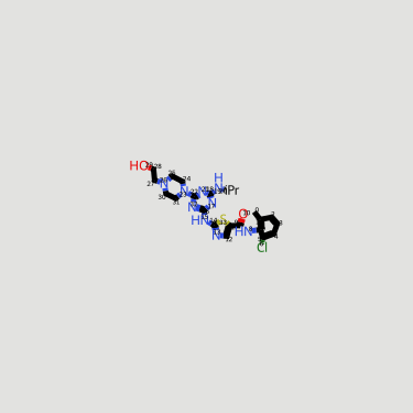 Cc1cccc(Cl)c1NC(=O)c1cnc(Nc2nc(NC(C)C)nc(N3CCN(CCO)CC3)n2)s1